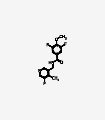 COc1c(F)cc(C(=O)NCc2cncc(F)c2C)cc1F